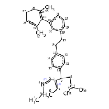 C/C=C(\C=N/CC)C(C[S+]([O-])Cl)c1ccc(CCc2cccc(C3=C(C)CCC=C3C)c2)cc1